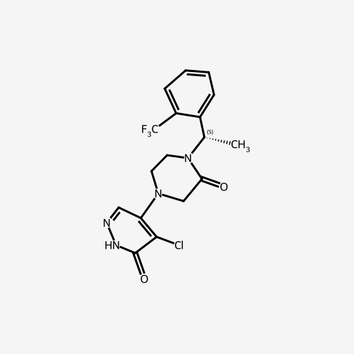 C[C@@H](c1ccccc1C(F)(F)F)N1CCN(c2cn[nH]c(=O)c2Cl)CC1=O